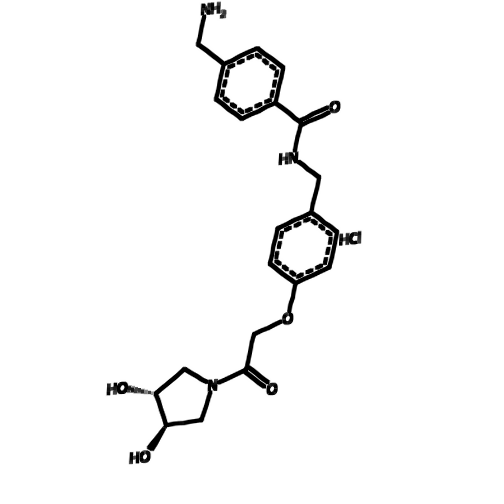 Cl.NCc1ccc(C(=O)NCc2ccc(OCC(=O)N3C[C@@H](O)[C@H](O)C3)cc2)cc1